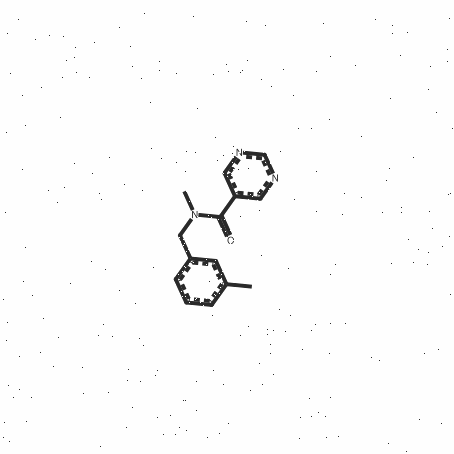 Cc1cccc(CN(C)C(=O)c2cncnc2)c1